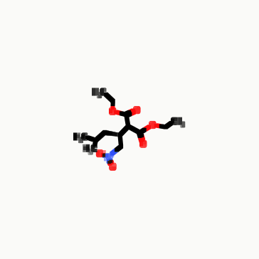 CCOC(=O)C(C(=O)OCC)[C@H](CC(C)C)C[N+](=O)[O-]